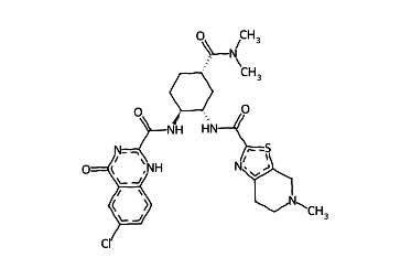 CN1CCc2nc(C(=O)N[C@H]3C[C@@H](C(=O)N(C)C)CC[C@@H]3NC(=O)c3nc(=O)c4cc(Cl)ccc4[nH]3)sc2C1